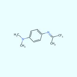 CC(=Nc1ccc(N(C)C)cc1)C(F)(F)F